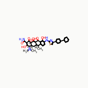 C[C@@H]1c2ccc(Nc3nc(-c4ccc(-c5ccccc5)cc4)cs3)c(O)c2C(=O)C2=C(O)[C@]3(O)C(=O)C(C(N)=O)=C(O)[C@H](N(C)C)[C@H]3C[C@H]21